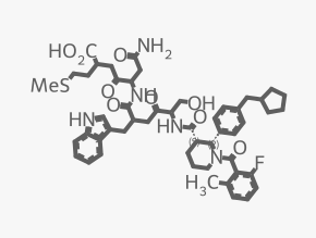 CSCCC(CC(=O)C(CC(N)=O)NC(=O)C(CC(=O)C(CO)NC(=O)[C@H]1CCCN(C(=O)c2c(C)cccc2F)[C@H]1c1ccc(CC2CCCC2)cc1)Cc1c[nH]c2ccccc12)C(=O)O